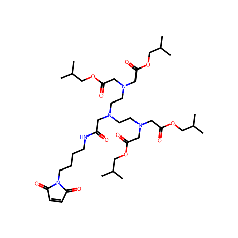 CC(C)COC(=O)CN(CCN(CCN(CC(=O)OCC(C)C)CC(=O)OCC(C)C)CC(=O)NCCCCN1C(=O)C=CC1=O)CC(=O)OCC(C)C